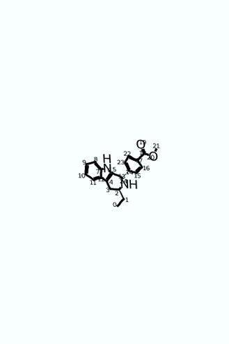 CC[C@H]1Cc2c([nH]c3ccccc23)[C@H](c2ccc(C(=O)OC)cc2)N1